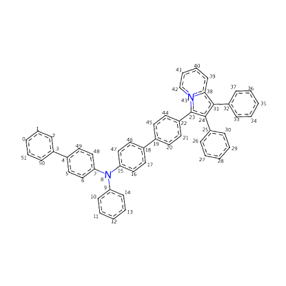 c1ccc(-c2ccc(N(c3ccccc3)c3ccc(-c4ccc(-c5c(-c6ccccc6)c(-c6ccccc6)c6ccccn56)cc4)cc3)cc2)cc1